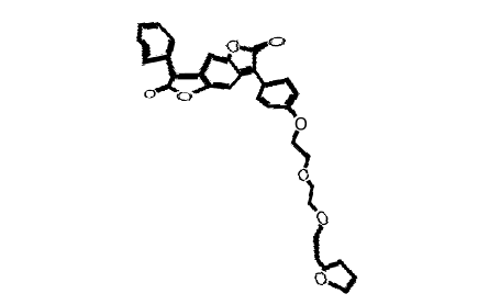 O=C1Oc2cc3c(cc2=C1c1ccccc1)OC(=O)C=3c1ccc(OCCOCCOCC2CCCO2)cc1